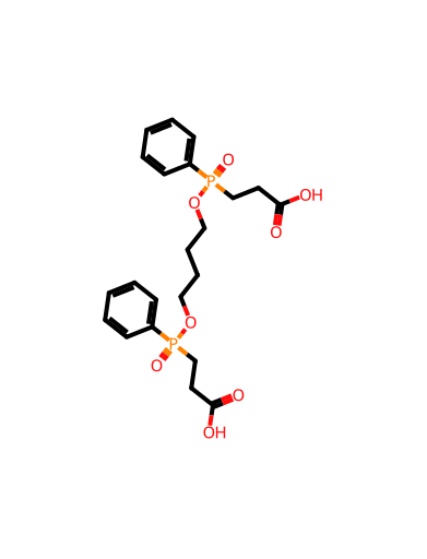 O=C(O)CCP(=O)(OCCCCOP(=O)(CCC(=O)O)c1ccccc1)c1ccccc1